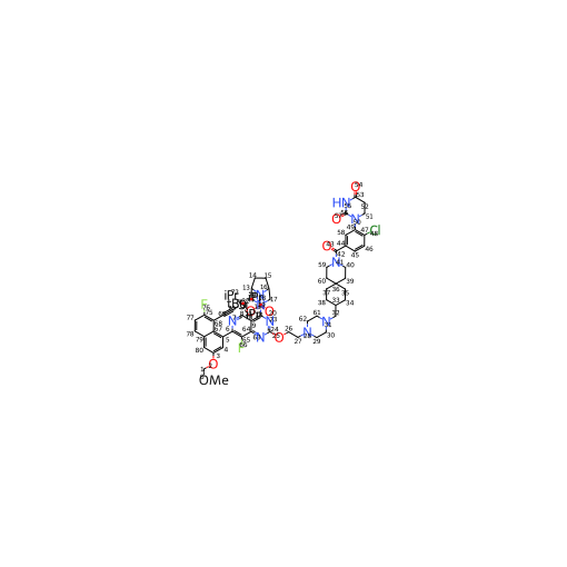 COCOc1cc(-c2ncc3c(N4CC5CCC(C4)N5C(=O)OC(C)(C)C)nc(OCCN4CCN(CC5CCC6(CC5)CCN(C(=O)c5ccc(Cl)c(N7CCC(=O)NC7=O)c5)CC6)CC4)nc3c2F)c2c(C#C[Si](C(C)C)(C(C)C)C(C)C)c(F)ccc2c1